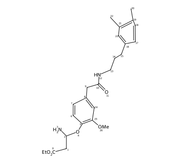 CCOC(=O)CC(N)Oc1ccc(CC(=O)NCCCc2ccc(C)c(C)c2)cc1OC